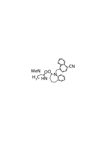 CN[C@@H](C)C(=O)N[C@H]1CCc2ccccc2N(Cc2ccc(C#N)c3ccccc23)C1=O